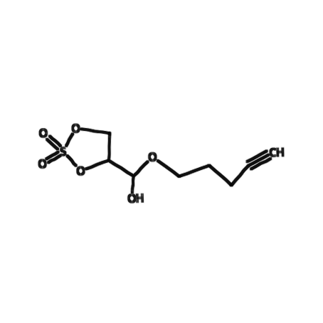 C#CCCCOC(O)C1COS(=O)(=O)O1